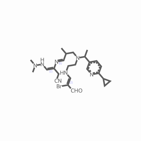 CC(/C=N/C(=C\NN(C)C)CC#N)CN(CCN/C=C(\Br)C=O)C(C)c1ccc(C2CC2)nc1